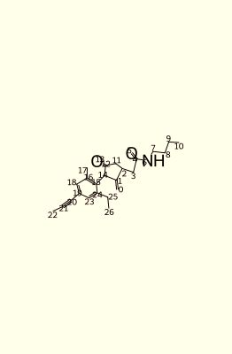 C=C1C(CC(=O)NCCCC)CC(=O)C1c1c(C)cc(C#CC)cc1CC